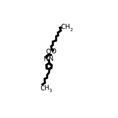 C=CCCCCCCCCC(=O)Oc1cnc(-c2ccc(CCCCCCC)cc2)nc1